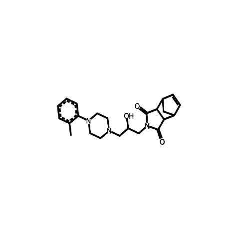 Cc1ccccc1N1CCN(CC(O)CN2C(=O)C3C4C=CC(C4)C3C2=O)CC1